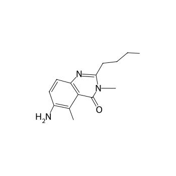 CCCCc1nc2ccc(N)c(C)c2c(=O)n1C